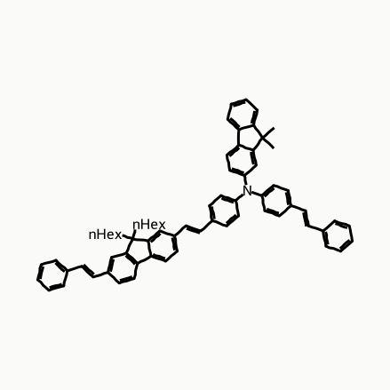 CCCCCCC1(CCCCCC)c2cc(C=Cc3ccccc3)ccc2-c2ccc(C=Cc3ccc(N(c4ccc(C=Cc5ccccc5)cc4)c4ccc5c(c4)C(C)(C)c4ccccc4-5)cc3)cc21